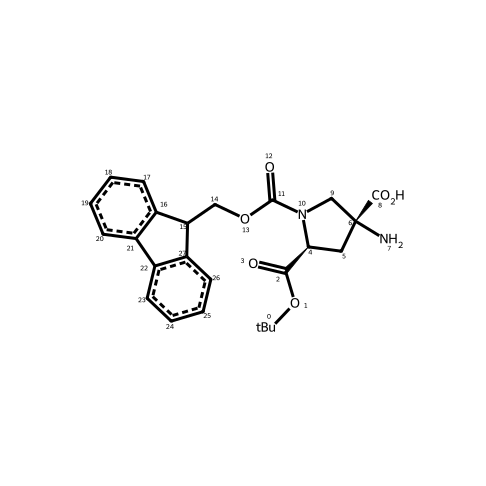 CC(C)(C)OC(=O)[C@@H]1C[C@](N)(C(=O)O)CN1C(=O)OCC1c2ccccc2-c2ccccc21